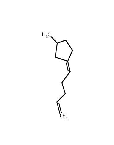 C=CCCC=C1CCC(C)C1